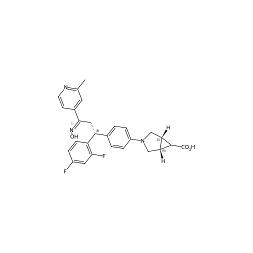 Cc1cc(/C(C[C@H](c2ccc(N3C[C@@H]4C(C(=O)O)[C@@H]4C3)cc2)c2ccc(F)cc2F)=N/O)ccn1